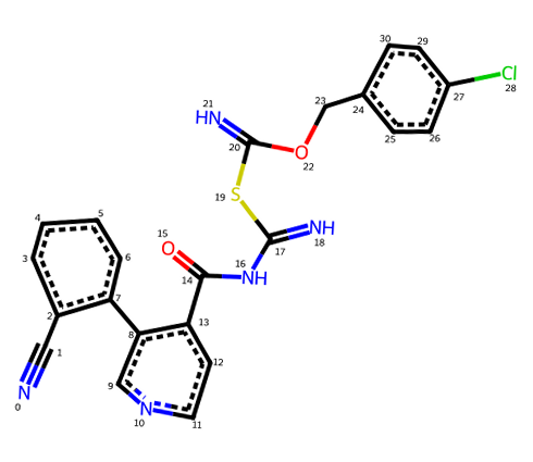 N#Cc1ccccc1-c1cnccc1C(=O)NC(=N)SC(=N)OCc1ccc(Cl)cc1